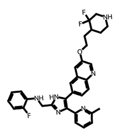 Cc1cccc(-c2nc(CNc3ccccc3F)[nH]c2-c2ccc3ncc(OCCC4CCNCC4(F)F)cc3c2)n1